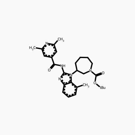 Cc1cc(C(=O)Nc2nc3cccc(C)c3n2C2CCCCN(C(=O)OC(C)(C)C)C2)cc(C)n1